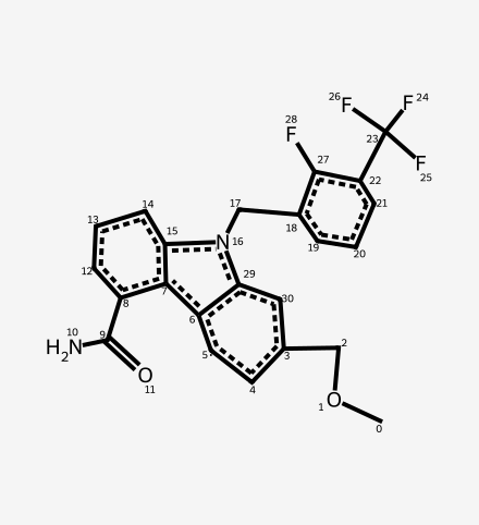 COCc1c[c]c2c3c(C(N)=O)cccc3n(Cc3cccc(C(F)(F)F)c3F)c2c1